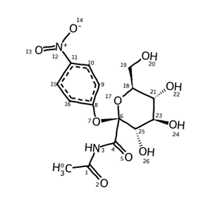 CC(=O)NC(=O)[C@]1(Oc2ccc([N+](=O)[O-])cc2)O[C@@H](CO)[C@H](O)[C@@H](O)[C@@H]1O